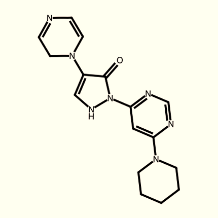 O=c1c(N2C=CN=CC2)c[nH]n1-c1cc(N2CCCCC2)ncn1